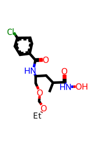 CCOCOCC(CC(C)C(=O)NO)NC(=O)c1ccc(Cl)cc1